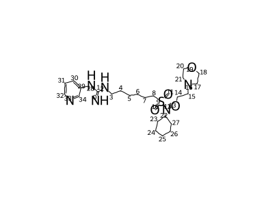 N=C(NCCCCCCS(=O)(=O)N(OCCN1CCOCC1)C1CCCCC1)Nc1cccnc1